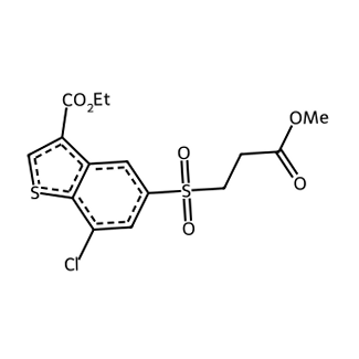 CCOC(=O)c1csc2c(Cl)cc(S(=O)(=O)CCC(=O)OC)cc12